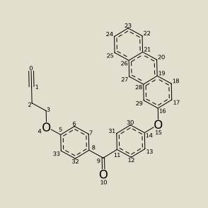 C#CCCOc1ccc(C(=O)c2ccc(Oc3ccc4cc5ccccc5cc4c3)cc2)cc1